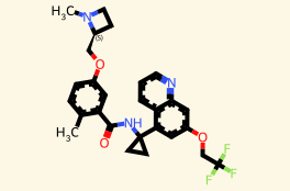 Cc1ccc(OC[C@@H]2CCN2C)cc1C(=O)NC1(c2cc(OCC(F)(F)F)cc3ncccc23)CC1